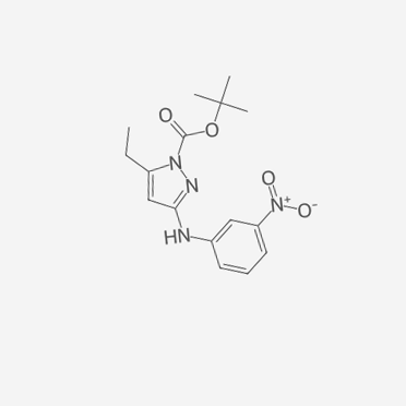 CCc1cc(Nc2cccc([N+](=O)[O-])c2)nn1C(=O)OC(C)(C)C